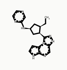 CC[C@@H]1C[C@H](Nc2cnccn2)C[C@@H]1c1nnc2cnc3[nH]ccc3n12